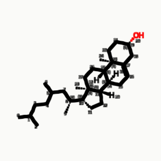 CC(C)CCC(C)C[C@@H](C)[C@H]1CC[C@H]2[C@@H]3CC=C4C[C@@H](O)CC[C@]4(C)[C@H]3CC[C@]12C